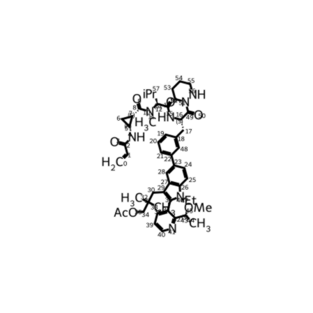 C=CC(=O)N[C@@H]1C[C@@H]1C(=O)N(C)[C@H](C(=O)N[C@@H](Cc1cccc(-c2ccc3c(c2)c(CC(C)(C)COC(C)=O)c(-c2cccnc2[C@H](C)OC)n3CC)c1)C(=O)N1CCCCN1)C(C)C